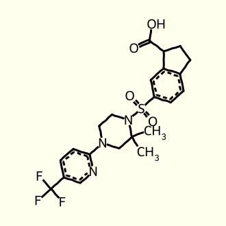 CC1(C)CN(c2ccc(C(F)(F)F)cn2)CCN1S(=O)(=O)c1ccc2c(c1)C(C(=O)O)CC2